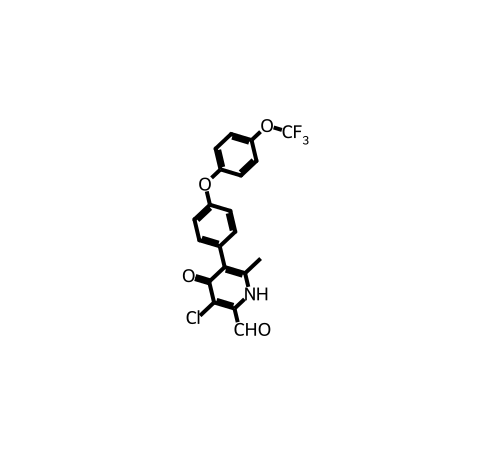 Cc1[nH]c(C=O)c(Cl)c(=O)c1-c1ccc(Oc2ccc(OC(F)(F)F)cc2)cc1